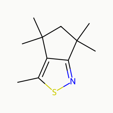 Cc1snc2c1C(C)(C)CC2(C)C